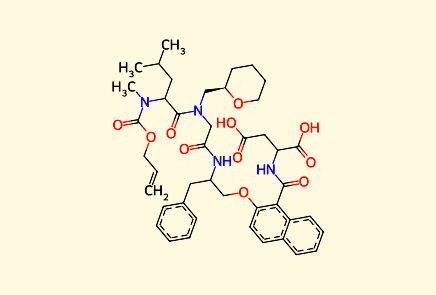 C=CCOC(=O)N(C)C(CC(C)C)C(=O)N(CC(=O)NC(COc1ccc2ccccc2c1C(=O)NC(CC(=O)O)C(=O)O)Cc1ccccc1)C[C@H]1CCCCO1